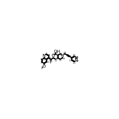 COc1ccc2nccc([C@@H](F)CC[C@@H]3CCN(CC#Cc4ccnnc4)C[C@@H]3C(=O)O)c2c1